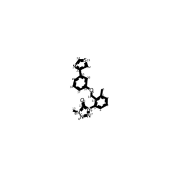 Cc1cccc(-n2nnn(C)c2=O)c1COc1cccc(-c2cscn2)c1